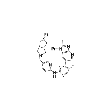 CCN1CC2CN(Cc3ccc(Nc4ncc(F)c(-c5cnc6nc(C)n(C(C)C)c6c5)n4)nc3)CC2C1